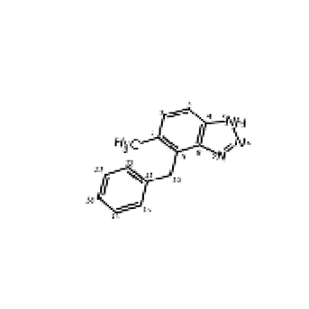 Cc1ccc2[nH]nnc2c1Cc1ccccc1